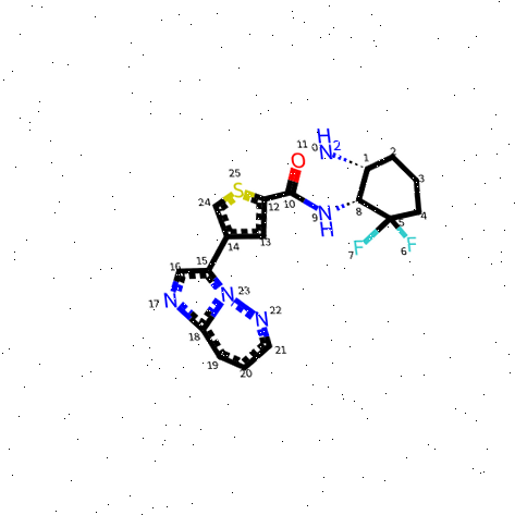 N[C@@H]1CCCC(F)(F)[C@@H]1NC(=O)c1cc(-c2cnc3cccnn23)cs1